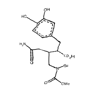 COC(=O)N(CC(CC(N)=O)C(Cc1ccc(O)c(O)c1)C(=O)O)C(C)(C)C